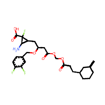 C=C1CCCC(CCC(=O)OCOC(=O)CC(CC2C(N)C2(F)C(=O)O)OCc2ccc(F)c(F)c2)C1